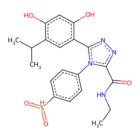 CCNC(=O)c1nnc(-c2cc(C(C)C)c(O)cc2O)n1-c1ccc([SH](=O)=O)cc1